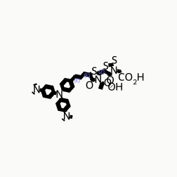 C=C(OO)n1c(=O)/c(=C\C=C\c2ccc(N(c3ccc(N(C)C)cc3)c3ccc(N(C)C)cc3)cc2)s/c1=C1\SC(=S)N(CC(=O)O)C1=O